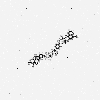 C[C@@H]1CN(c2ccc3c(c2)C(=O)N(C2CCC(=O)NC2=O)C3=O)CCN1CC1CCN(c2ccc(C(=O)N[C@H]3C(C)(C)[C@H](Oc4ccc(C#N)c5ncccc45)C3(C)C)cc2)CC1